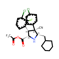 N#C[C@]1(c2ccc(Cl)cc2)[C@H](CC2CCCCC2)N[C@H](C(=O)OC(=O)C(F)(F)F)[C@@H]1c1cccc(Cl)c1F